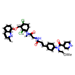 COCCN(C(=O)c1ccncc1)c1ccc(/C=C/C(=O)NCC(=O)N(C)c2ccc(Cl)c(COc3cccc4ccc(C)nc34)c2Cl)cc1